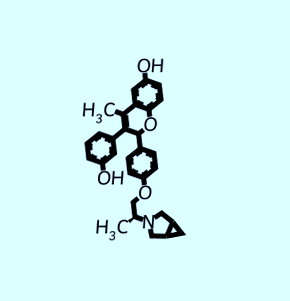 CC1=C(c2cccc(O)c2)C(c2ccc(OC[C@H](C)N3CC4CC4C3)cc2)Oc2ccc(O)cc21